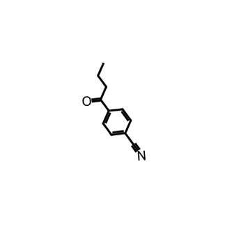 CCCC(=O)c1ccc(C#N)cc1